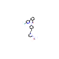 CC(=O)Nc1cccc(CCc2ccc(NC(=O)c3ccccc3-c3ccc(C(F)(F)F)cc3)cc2)n1